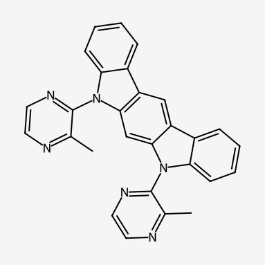 Cc1nccnc1-n1c2ccccc2c2cc3c4ccccc4n(-c4nccnc4C)c3cc21